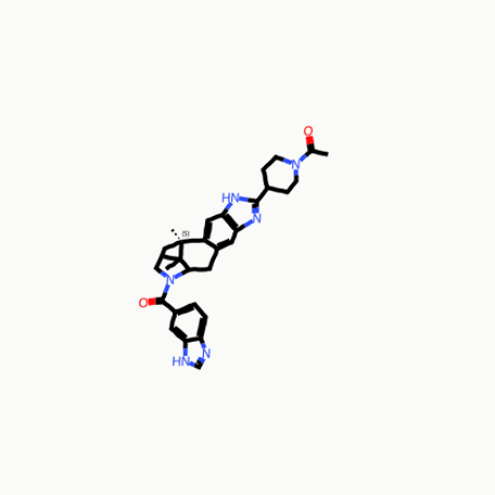 CC(=O)N1CCC(c2nc3cc4c(cc3[nH]2)[C@]2(C)CCN(C(=O)c3ccc5nc[nH]c5c3)C(C4)C2(C)C)CC1